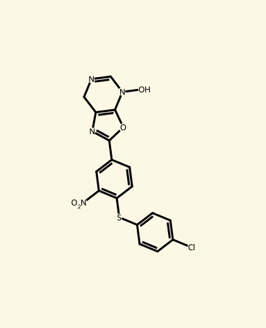 O=[N+]([O-])c1cc(-c2nc3c(o2)N(O)C=NC3)ccc1Sc1ccc(Cl)cc1